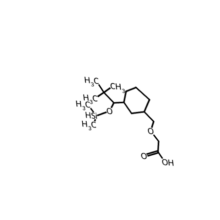 C[SiH](C)OC(C1CCCC(COCC(=O)O)C1)C(C)(C)C